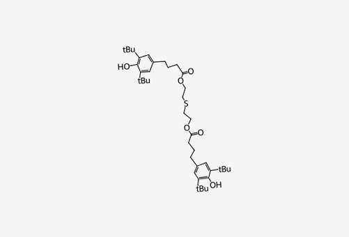 CC(C)(C)c1cc(CCCC(=O)OCCSCCOC(=O)CCCc2cc(C(C)(C)C)c(O)c(C(C)(C)C)c2)cc(C(C)(C)C)c1O